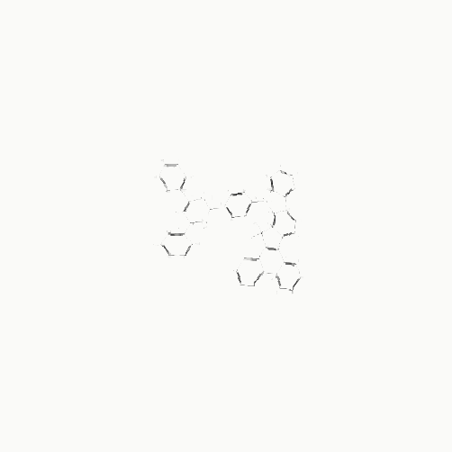 CC1(C)c2c(c3ccccc3c3ccccc23)-c2ccc3c4ccccc4n(-c4ccc(C5NC(c6ccccc6)=CC(c6ccccc6)N5)cc4)c3c21